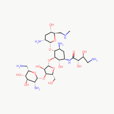 CNC[C@H]1O[C@H](O[C@H]2[C@H](O[C@@H]3O[C@H](CO)[C@@H](O[C@H]4O[C@@H](CN)[C@@H](O)[C@H](O)[C@H]4N)[C@H]3O)[C@@H](O)[C@H](NC(=O)[C@@H](O)[C@@H](O)CN)C[C@@H]2N)[C@H](N)C[C@@H]1O